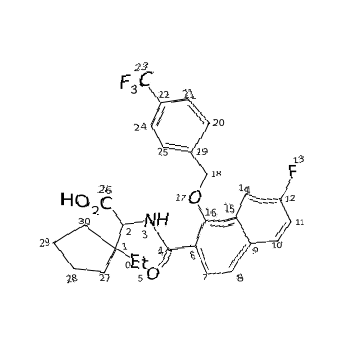 CCC1(C(NC(=O)c2ccc3ccc(F)cc3c2OCc2ccc(C(F)(F)F)cc2)C(=O)O)CCCC1